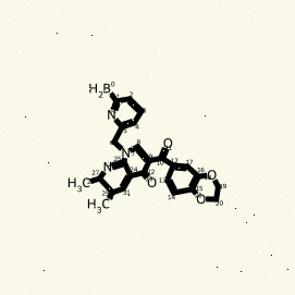 Bc1cccc(Cn2cc(C(=O)c3ccc4c(c3)OCCO4)c(=O)c3c2=NC(C)C(C)C=3)n1